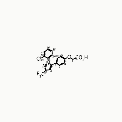 O=C(O)COc1ccc(-c2cc(C(F)(F)F)nn2-c2ccccc2Cl)cc1